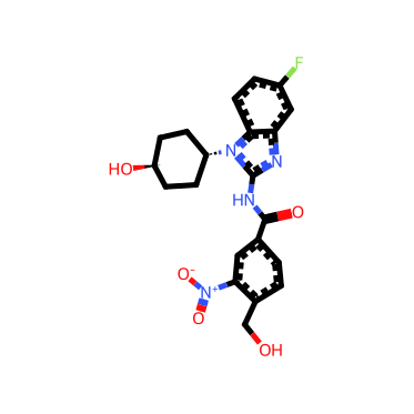 O=C(Nc1nc2cc(F)ccc2n1[C@H]1CC[C@H](O)CC1)c1ccc(CO)c([N+](=O)[O-])c1